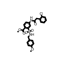 COC(=O)c1ccc(NC(=O)Cc2ccccc2Cl)cc1S(=O)(=O)NCc1ccc(OC)cc1